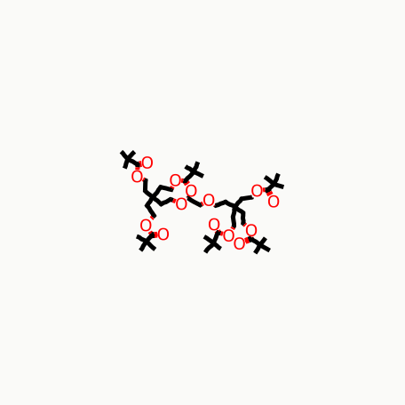 CC(C)(C)C(=O)OCCC(CCOCCOCCC(CCOC(=O)C(C)(C)C)(CCOC(=O)C(C)(C)C)CCOC(=O)C(C)(C)C)(CCOC(=O)C(C)(C)C)CCOC(=O)C(C)(C)C